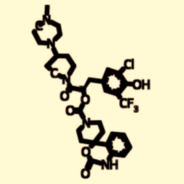 CN1CCCN(C2CCN(C(=O)[C@@H](Cc3cc(Cl)c(O)c(C(F)(F)F)c3)OC(=O)N3CCC4(CC3)OC(=O)Nc3ccccc34)CC2)CC1